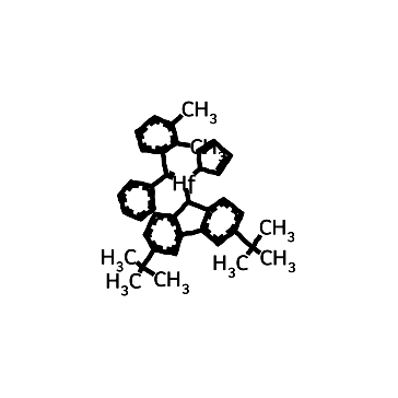 Cc1cccc([C](c2ccccc2)=[Hf]([CH]2C=CC=C2)[CH]2c3ccc(C(C)(C)C)cc3-c3cc(C(C)(C)C)ccc32)c1C